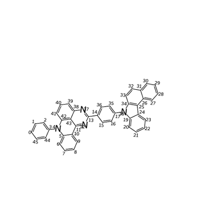 c1ccc(N2c3ccccc3-c3nc(-c4ccc(-n5c6ccccc6c6c7ccccc7ccc65)cc4)nc4cccc2c34)cc1